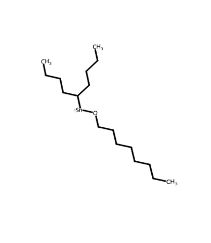 CCCCCCCC[O][Sn][CH](CCCC)CCCC